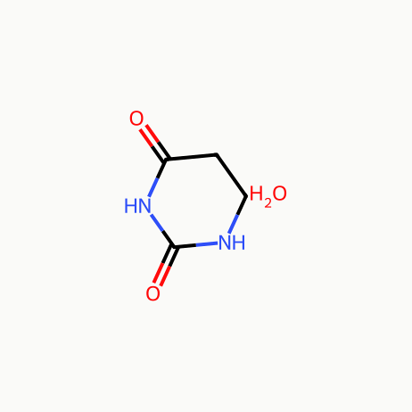 O.O=C1CCNC(=O)N1